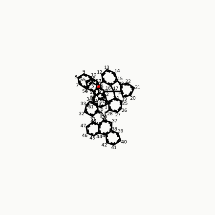 c1ccc(N(c2ccccc2)c2cccc3c2C2(c4ccccc4-3)c3cccc(N(c4ccccc4)c4cc5ccccc5c5ccccc45)c3-c3oc4ccccc4c32)cc1